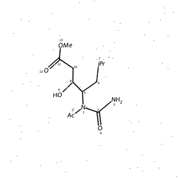 [CH2]C(=O)N(C(N)=O)C(CC(C)C)C(O)CC(=O)OC